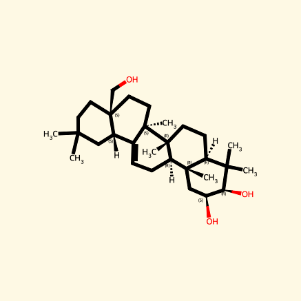 CC1(C)CC[C@]2(CO)CC[C@]3(C)C(=CC[C@@H]4[C@@]5(C)C[C@H](O)[C@H](O)C(C)(C)[C@@H]5CC[C@]43C)[C@@H]2C1